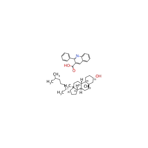 CC(C)CCCC(C)[C@H]1CC[C@H]2[C@@H]3CC=C4C[C@@H](O)CC[C@]4(C)[C@H]3CC[C@]12C.O=C(O)c1cc2ccccc2nc1-c1ccccc1